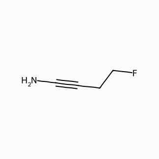 NC#CCCF